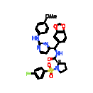 COc1ccc(Nc2nccc(C(NC(=O)[C@@H]3CCCN3S(=O)(=O)c3ccc(F)cc3)c3ccc4c(c3)OCO4)n2)cc1